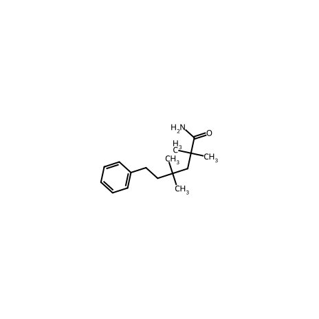 CC(C)(CCc1ccccc1)CC(C)(C)C(N)=O